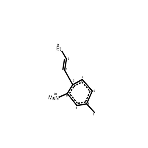 CC/C=C/c1ccc(C)cc1NC